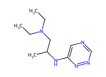 CCN(CC)CC(C)Nc1cncnn1